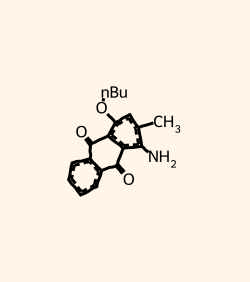 CCCCOc1cc(C)c(N)c2c1C(=O)c1ccccc1C2=O